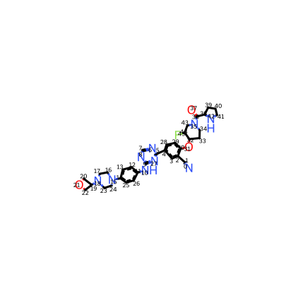 N#Cc1cc(-c2ncnc(Nc3ccc(N4CCN(C5COC5)CC4)cc3)n2)ccc1OC1CCN(C(=O)C2CCCN2)CC1F